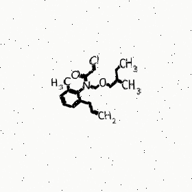 C=CCc1cccc(C)c1N(COCC(C)CC)C(=O)CCl